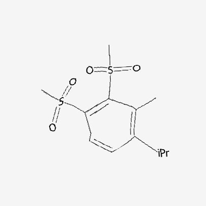 Cc1c(C(C)C)ccc(S(C)(=O)=O)c1S(C)(=O)=O